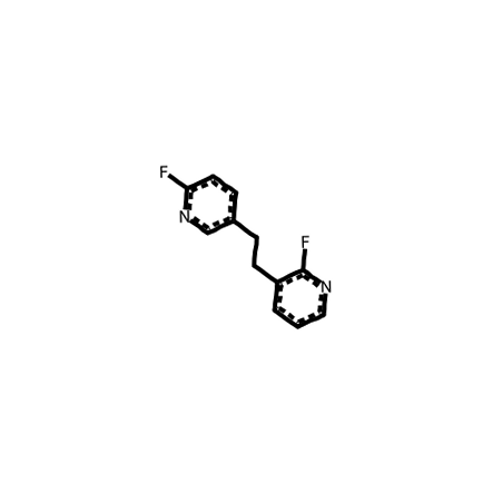 Fc1ccc(CCc2cccnc2F)cn1